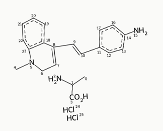 CC(N)C(=O)O.CN1CC=C(C=Cc2ccc(N)cc2)c2ccccc21.Cl.Cl